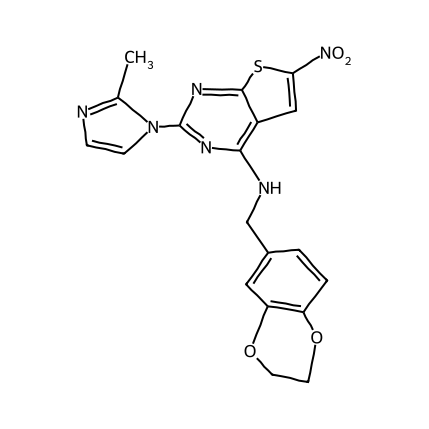 Cc1nccn1-c1nc(NCc2ccc3c(c2)OCCO3)c2cc([N+](=O)[O-])sc2n1